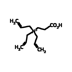 C=CC[N+](CC=C)(CC=C)CCC(=O)O